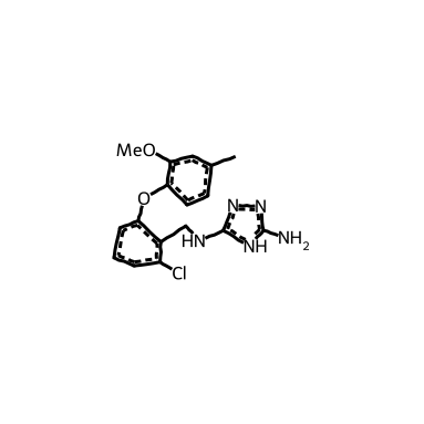 COc1cc(C)ccc1Oc1cccc(Cl)c1CNc1nnc(N)[nH]1